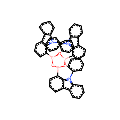 c1ccc(-n2c3ccccc3c3cccc(B4OB(c5cccc6c7ccccc7n(-c7ccccc7)c56)OB(c5cccc6c7ccccc7n(-c7ccccc7)c56)O4)c32)cc1